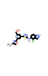 Cc1coc(-c2cc(-c3nnc(Nc4ccc5[nH]ncc5c4Cl)s3)cc(CO)n2)n1